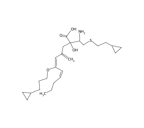 C=C(/C=C(\C=C/CCC)OCCCC1CC1)CC(O)(C(=O)O)C(N)CSCCC1CC1